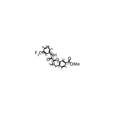 COC(=O)c1ccc(CN(C)C(=O)C(=O)Nc2cncc(C(F)(F)F)c2)cc1